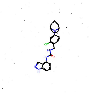 O=C(NCc1ccc(N2C3CCCC2CC3)cc1Cl)Nc1cccc2[nH]ncc12